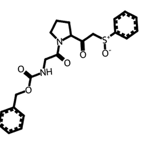 O=C(NCC(=O)N1CCCC1C(=O)C[S+]([O-])c1ccccc1)OCc1ccccc1